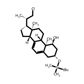 C[C@H](CCl)[C@H]1CC[C@H]2C3=CC=C4C[C@@H](O[Si](C)(C)C(C)(C)C)C[C@H](O)[C@]4(C)[C@H]3CC[C@]12C